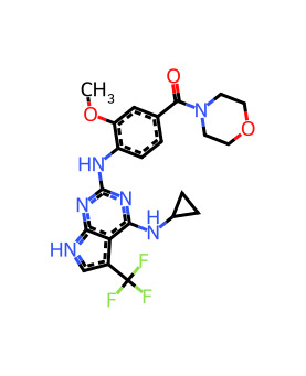 COc1cc(C(=O)N2CCOCC2)ccc1Nc1nc(NC2CC2)c2c(C(F)(F)F)c[nH]c2n1